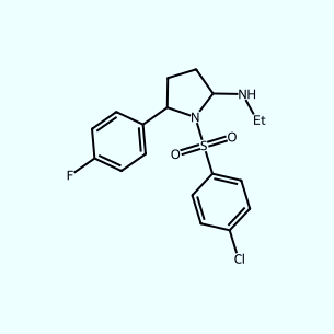 CCNC1CCC(c2ccc(F)cc2)N1S(=O)(=O)c1ccc(Cl)cc1